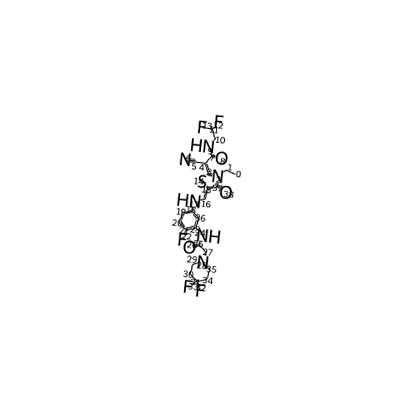 CCn1c(=C(C#N)C(=O)NCC(F)F)sc(=CNc2ccc(F)c(NC(=O)CN3CCC(F)(F)CC3)c2)c1=O